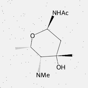 CN[C@@H]1[C@H](C)O[C@@H](NC(C)=O)C[C@]1(C)O